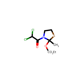 CCOC(=O)OC1(C)SCCN1C(=O)C(Cl)Cl